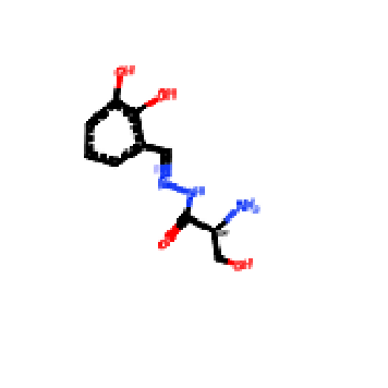 N[C@@H](CO)C(=O)N/N=C/c1cccc(O)c1O